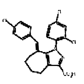 O=C(O)c1nn(-c2ccc(Cl)cc2Cl)c2c1CCCC/C2=C\c1ccc(Cl)cc1